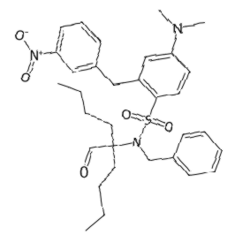 CCCCC(C=O)(CCCC)N(Cc1ccccc1)S(=O)(=O)c1ccc(N(C)C)cc1Cc1cccc([N+](=O)[O-])c1